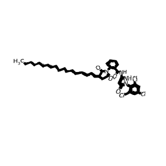 CCCCCCCCCCCCCCCCCCC1CC(=O)N(c2ccccc2C(=O)Nc2cc(=O)n(-c3c(Cl)cc(Cl)cc3Cl)[nH]2)C1=O